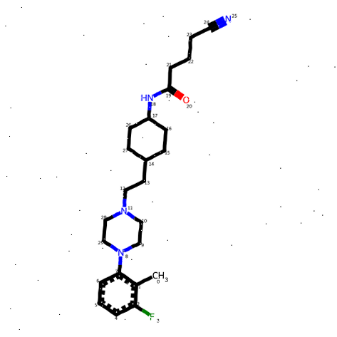 Cc1c(F)cccc1N1CCN(CCC2CCC(NC(=O)CCCC#N)CC2)CC1